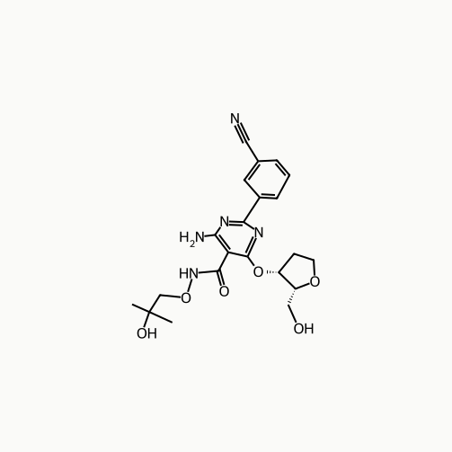 CC(C)(O)CONC(=O)c1c(N)nc(-c2cccc(C#N)c2)nc1O[C@@H]1CCO[C@@H]1CO